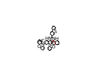 N#CC1C=C(C2=NC(c3ccccc3)NC(C3C=C4SC5=CC=CCC5C4=CC3)N2)C(N2C3C=CC=CC3OC3CCC=CC32)CC1N1C2C=CC=CC2OC2CCC=CC21